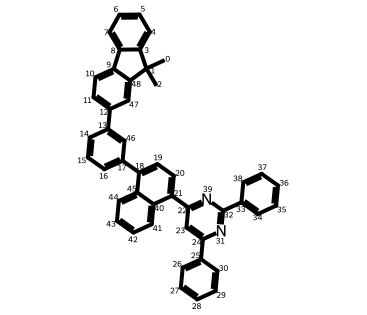 CC1(C)c2ccccc2-c2ccc(-c3cccc(-c4ccc(-c5cc(-c6ccccc6)nc(-c6ccccc6)n5)c5ccccc45)c3)cc21